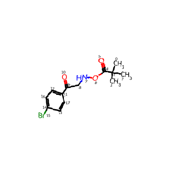 CC(C)(C)C(=O)ONCC(=O)c1ccc(Br)cc1